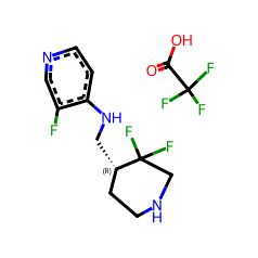 Fc1cnccc1NC[C@H]1CCNCC1(F)F.O=C(O)C(F)(F)F